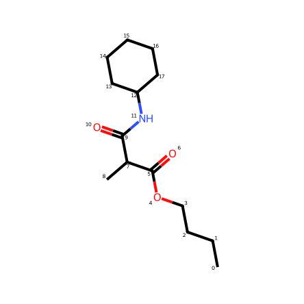 CCCCOC(=O)[C](C)C(=O)NC1CCCCC1